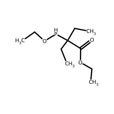 CCOPC(CC)(CC)C(=O)OCC